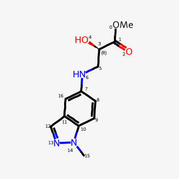 COC(=O)[C@H](O)CNc1ccc2c(cnn2C)c1